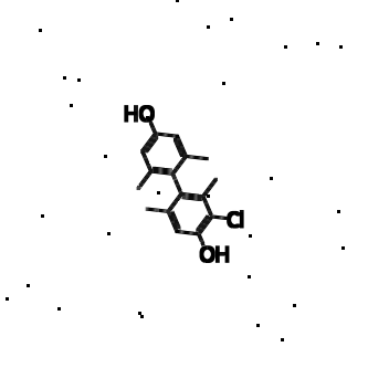 Cc1cc(O)cc(C)c1-c1c(C)cc(O)c(Cl)c1C